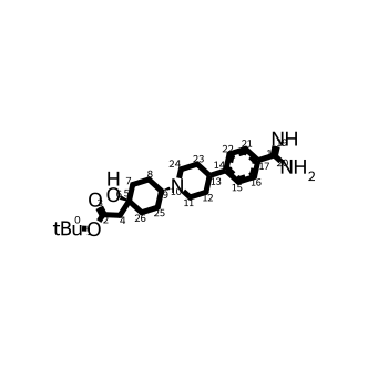 CC(C)(C)OC(=O)C[C@]1(O)CC[C@H](N2CCC(c3ccc(C(=N)N)cc3)CC2)CC1